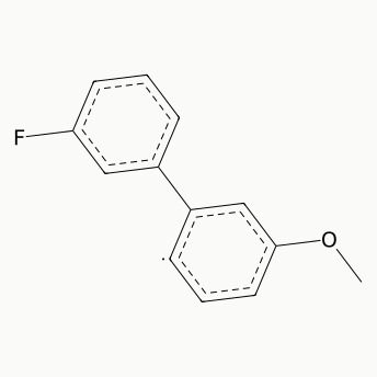 COc1cc[c]c(-c2cccc(F)c2)c1